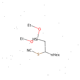 CCCCCCC(C[SiH](OCC)OCC)SC#N